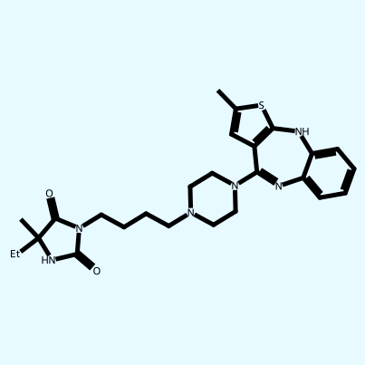 CCC1(C)NC(=O)N(CCCCN2CCN(C3=Nc4ccccc4Nc4sc(C)cc43)CC2)C1=O